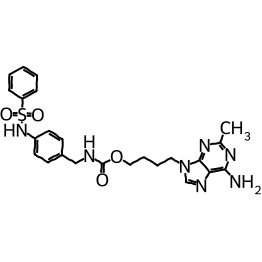 Cc1nc(N)c2ncn(CCCCOC(=O)NCc3ccc(NS(=O)(=O)c4ccccc4)cc3)c2n1